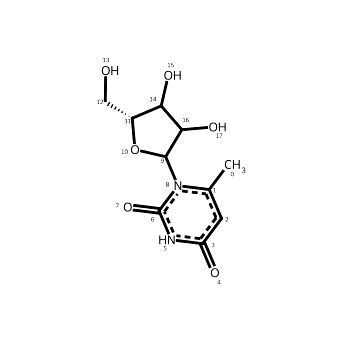 Cc1cc(=O)[nH]c(=O)n1C1O[C@H](CO)C(O)C1O